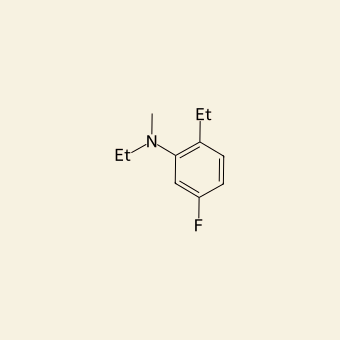 CCc1ccc(F)cc1N(C)CC